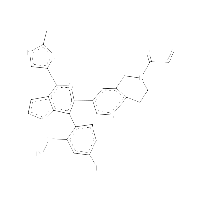 C=CC(=O)N1CCc2ncc(-c3nc(-c4cnc(C)s4)c4ccsc4c3-c3c(F)cc(F)cc3OC(C)C)cc2C1